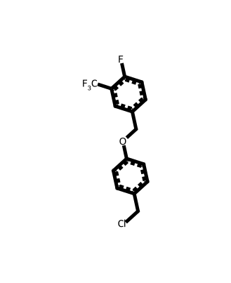 Fc1ccc(COc2ccc(CCl)cc2)cc1C(F)(F)F